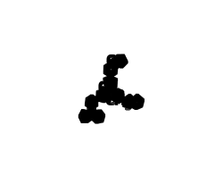 Cc1cc(-c2cccc(-n3c4ccccc4c4ccccc43)c2)cc(C)c1N(c1ccc(-c2ccc3ccccc3c2)cc1)c1ccc(-c2ccc3oc4ccccc4c3c2)cc1